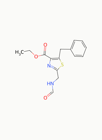 CCOC(=O)c1nc(CNC=O)sc1Cc1ccccc1